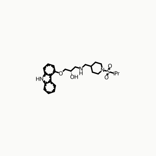 CC(C)S(=O)(=O)N1CCC(CNC[C@H](O)COc2cccc3[nH]c4ccccc4c23)CC1